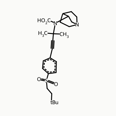 CC(C)(C)CCS(=O)(=O)c1ccc(C#CC(C)(C)N(C(=O)O)C2CN3CCC2CC3)cc1